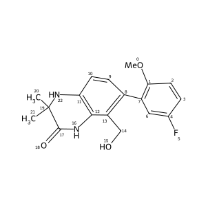 COc1ccc(F)cc1-c1ccc2c(c1CO)NC(=O)C(C)(C)N2